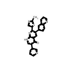 Cc1ncc(-c2nc3[nH]cc(-c4cccnc4)c(=O)c3cc2-c2ccc3ncccc3c2)s1